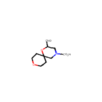 O=CC1CN(C(=O)O)CC2(CCOCC2)O1